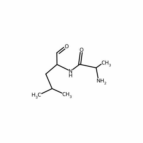 CC(C)CC(C=O)NC(=O)C(C)N